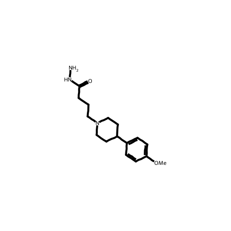 COc1ccc(C2CCN(CCCC(=O)NN)CC2)cc1